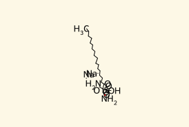 CCCCCCCCCCCCCCCCCC(=O)C(CC(N)=O)(C(N)=O)S(=O)(=O)O.[Na].[Na]